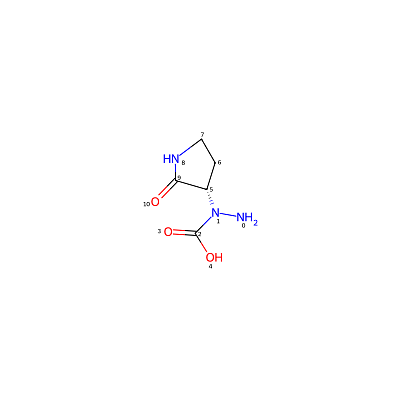 NN(C(=O)O)[C@H]1CCNC1=O